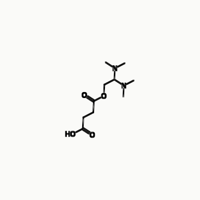 CN(C)C(COC(=O)CCC(=O)O)N(C)C